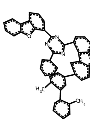 Cc1ccccc1-c1cc(-c2ccc3oc4cccc(-c5nc(-c6ccccc6)nc(-c6cccc7c6oc6ccccc67)n5)c4c3c2)ccc1C